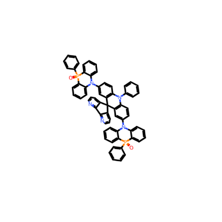 O=P1(c2ccccc2)c2ccccc2N(c2ccc3c(c2)C2(c4cc(N5c6ccccc6P(=O)(c6ccccc6)c6ccccc65)ccc4N3c3ccccc3)c3cccnc3-c3ncccc32)c2ccccc21